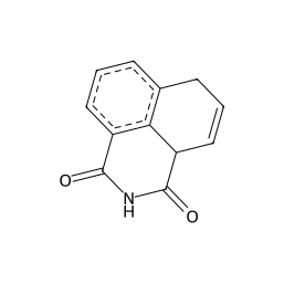 O=C1NC(=O)C2C=CCc3cccc1c32